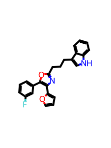 Fc1cccc(-c2oc(CCCc3c[nH]c4ccccc34)nc2-c2ccco2)c1